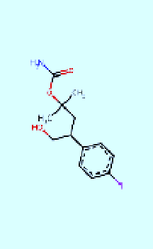 CC(C)(CC(CO)c1ccc(I)cc1)OC(N)=O